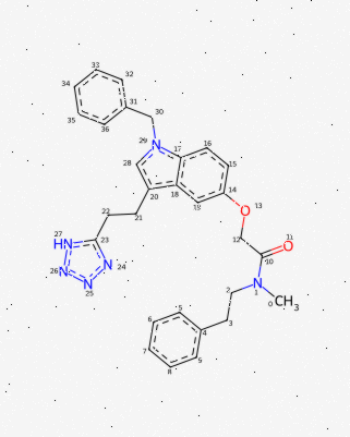 CN(CCc1ccccc1)C(=O)COc1ccc2c(c1)c(CCc1nnn[nH]1)cn2Cc1ccccc1